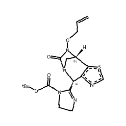 C=CCON1C(=O)N2C[C@H]1c1scnc1[C@H]2C1=NCCN1C(=O)OC(C)(C)C